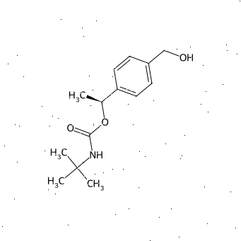 C[C@H](OC(=O)NC(C)(C)C)c1ccc(CO)cc1